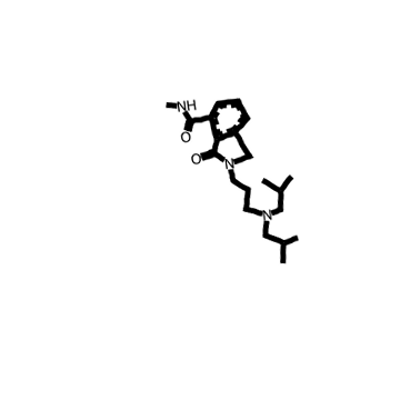 CNC(=O)c1cccc2c1C(=O)N(CCCN(CC(C)C)CC(C)C)C2